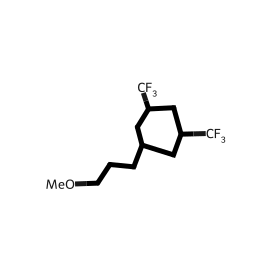 COCCCC1CC(C(F)(F)F)CC(C(F)(F)F)C1